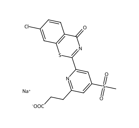 CS(=O)(=O)c1cc(CCC(=O)[O-])nc(-c2nc(=O)c3ccc(Cl)cc3s2)c1.[Na+]